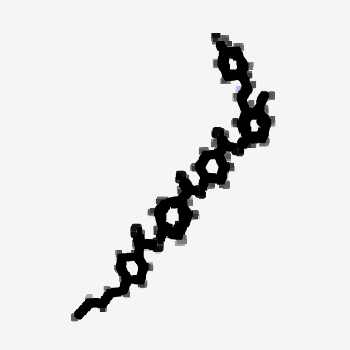 CCCCCC1CCC(C(=O)Oc2ccc(C(=O)OC3CCC(C(=O)Oc4ccc(C)c(/C=C/c5ccc(F)cc5)c4)CC3)cc2)CC1